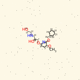 COc1ccc(OC[C@H](O)CNCCO)nc1OCc1ccccc1